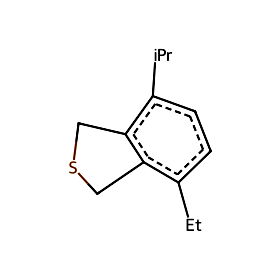 CCc1ccc(C(C)C)c2c1CSC2